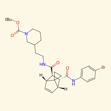 CC(C)(C)OC(=O)N1CCCC(CCNC(=O)[C@H]2[C@H](C(=O)Nc3ccc(Br)cc3)[C@@H]3C=C[C@H]2C32CC2)C1